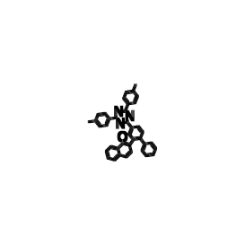 Cc1ccc(-c2nc(-c3ccc(C)cc3)nc(-c3ccc(-c4ccccc4)c4c3oc3c5ccccc5ccc34)n2)cc1